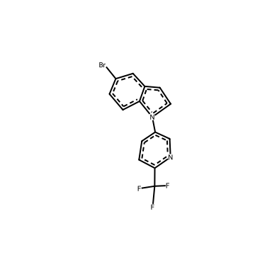 FC(F)(F)c1ccc(-n2ccc3cc(Br)ccc32)cn1